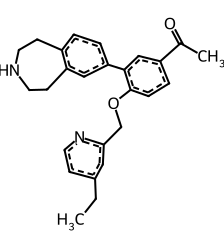 CCc1ccnc(COc2ccc(C(C)=O)cc2-c2ccc3c(c2)CCNCC3)c1